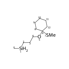 C[SiH2]CCCOC1(SC)CCCCC1